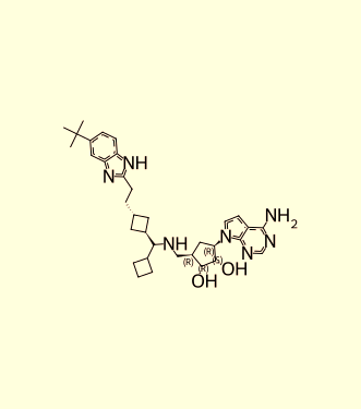 CC(C)(C)c1ccc2[nH]c(CC[C@H]3C[C@H](C(NC[C@H]4C[C@@H](n5ccc6c(N)ncnc65)[C@H](O)[C@@H]4O)C4CCC4)C3)nc2c1